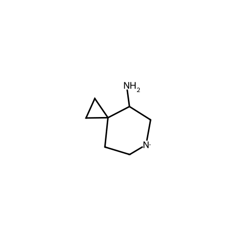 NC1C[N]CCC12CC2